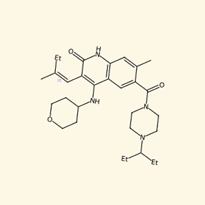 CC/C(C)=C\c1c(NC2CCOCC2)c2cc(C(=O)N3CCN(C(CC)CC)CC3)c(C)cc2[nH]c1=O